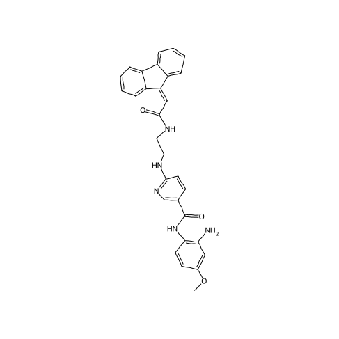 COc1ccc(NC(=O)c2ccc(NCCNC(=O)C=C3c4ccccc4-c4ccccc43)nc2)c(N)c1